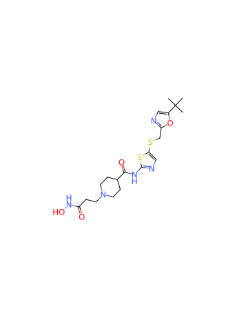 CC(C)(C)c1cnc(CSc2cnc(NC(=O)C3CCN(CCC(=O)NO)CC3)s2)o1